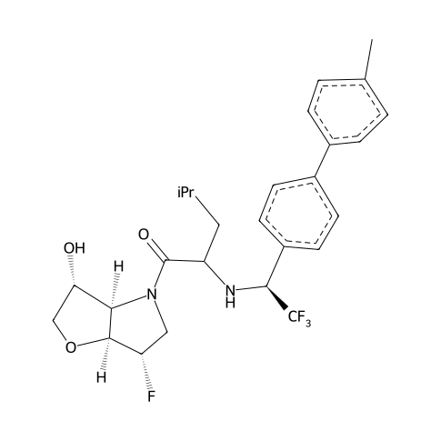 Cc1ccc(-c2ccc([C@H](NC(CC(C)C)C(=O)N3C[C@H](F)[C@H]4OC[C@H](O)[C@H]43)C(F)(F)F)cc2)cc1